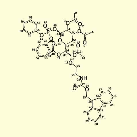 CC(=O)OC1C(OC(C)=O)[C@H](OC(C)=O)C([C@@H](COCCNC(=O)OCC2c3ccccc3-c3ccccc32)OC(C)=O)O[C@H]1OP(=O)(Oc1ccccc1)Oc1ccccc1